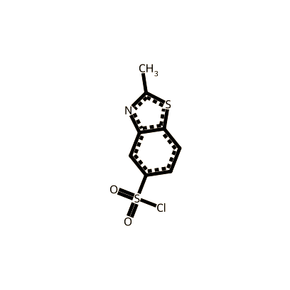 Cc1nc2cc(S(=O)(=O)Cl)ccc2s1